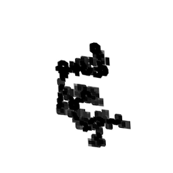 Cc1c(-c2ccc(N3CCc4cccc(C(=O)Nc5nc6ccccc6s5)c4C3)nc2C(=O)O)cnn1CC12CCCC(C)(CC(C)(CCOCCN(CCC[C@H](O)CO)C(=O)OCc3ccc(NC(=O)[C@H](C)NC(=O)[C@@H](NC(=O)CN4C(=O)[C@@H](NC(=O)CCC(=O)O)C[C@H]4COCCS(=O)(=O)O)C(C)C)cc3CC[C@@H]3O[C@H](C(=O)O)[C@@H](O)[C@H](O)[C@H]3O)C1)C2